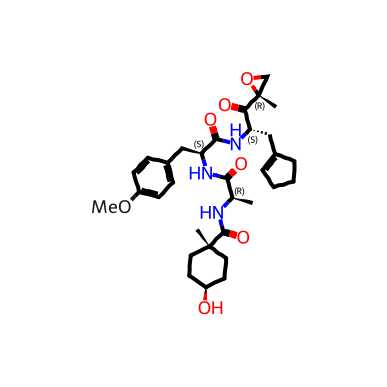 COc1ccc(C[C@H](NC(=O)[C@@H](C)NC(=O)[C@]2(C)CC[C@@H](O)CC2)C(=O)N[C@@H](CC2=CCCC2)C(=O)[C@@]2(C)CO2)cc1